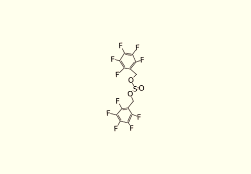 O=S(OCc1c(F)c(F)c(F)c(F)c1F)OCc1c(F)c(F)c(F)c(F)c1F